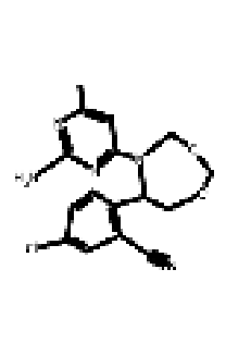 Cc1cc(N2CCCOCC2c2ccc(Cl)cc2C#N)nc(N)n1